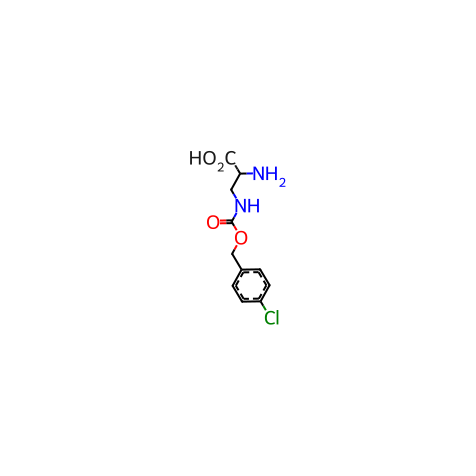 NC(CNC(=O)OCc1ccc(Cl)cc1)C(=O)O